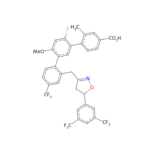 COc1cc(F)c(-c2ccc(C(=O)O)cc2C)cc1-c1ccc(C(F)(F)F)cc1CC1=NOC(c2cc(C(F)(F)F)cc(C(F)(F)F)c2)C1